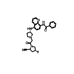 N#CC1C[C@H](F)CN1C(=O)CN1CC[C@H](Nc2ccc(NC(=O)c3ccccc3)c3ncccc23)C1